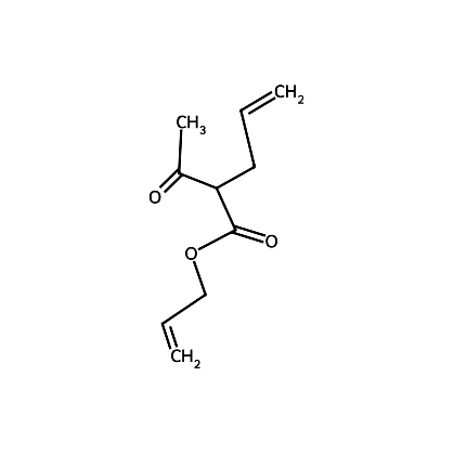 C=CCOC(=O)C(CC=C)C(C)=O